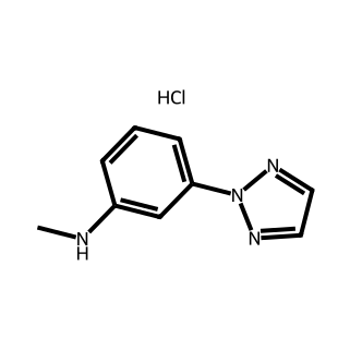 CNc1cccc(-n2nccn2)c1.Cl